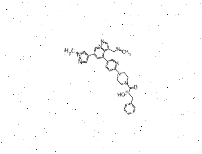 C=NCc1cnn2cc(-c3cnn(C)c3)cc(-c3ccc(N4CCN(C(=O)[C@@H](O)Cc5ccccc5)CC4)nc3)c12